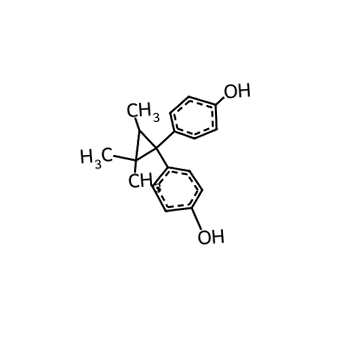 CC1C(C)(C)C1(c1ccc(O)cc1)c1ccc(O)cc1